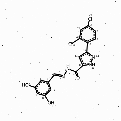 O=C(N/N=C/c1cc(O)cc(O)c1)c1cc(-c2ccc(Cl)cc2Cl)n[nH]1